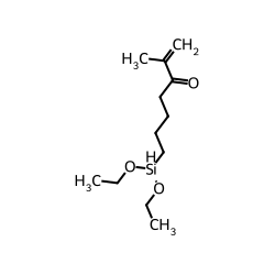 C=C(C)C(=O)CCCC[SiH](OCC)OCC